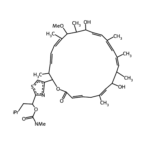 CNC(=O)OC(CC(C)C)c1nc(C2OC(=O)C=CCC(C)=CC(O)C(C)C=C(C)C=C(C)C=CC(O)C(C)C(OC)C(C)=CC=CC2C)cs1